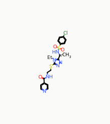 CCn1c(SCCNC(=O)c2ccncc2)nnc1[C@@H](C)NS(=O)(=O)c1ccc(Cl)cc1